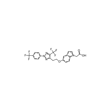 O=C(O)Cn1ccc2cc(OCCc3nn(-c4ccc(C(F)(F)F)cc4)nc3C(F)(F)F)ccc21